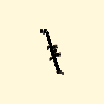 CCCCCCCCC(F)[C@H](O)CC(=O)CC(O)[C@@H](F)CCCCCCCC